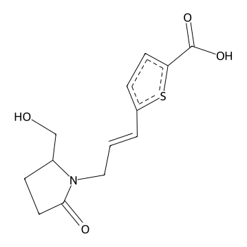 O=C(O)c1ccc(C=CCN2C(=O)CCC2CO)s1